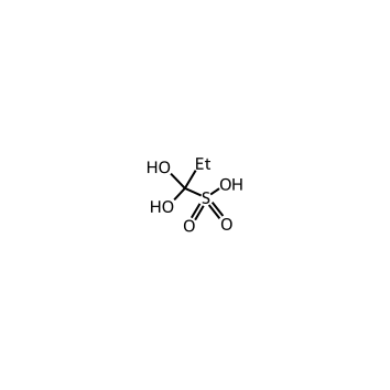 CCC(O)(O)S(=O)(=O)O